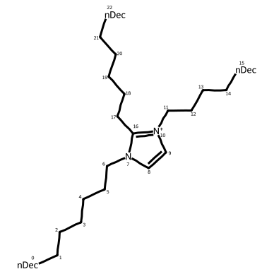 CCCCCCCCCCCCCCCCn1cc[n+](CCCCCCCCCCCCCC)c1CCCCCCCCCCCCCCC